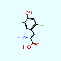 N[C@@H](Cc1cc(F)c(O)cc1F)C(=O)O